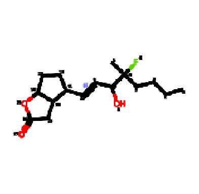 CCCCC(C)(F)C(O)/C=C/C1CCC2OC(=O)CC12